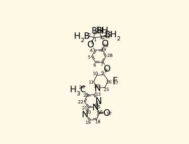 BC1(B)Oc2ccc(O[C@H]3CCN(c4nn5c(=O)ccnc5cc4C)C[C@H]3F)cc2OC1(B)B